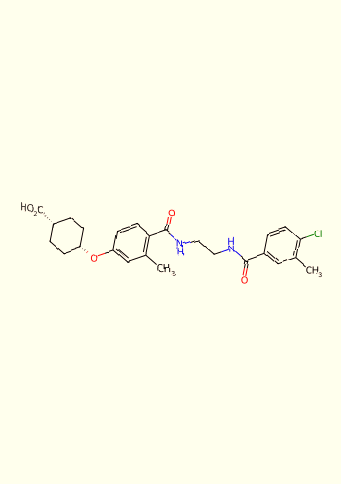 Cc1cc(C(=O)NCCNC(=O)c2ccc(O[C@H]3CC[C@@H](C(=O)O)CC3)cc2C)ccc1Cl